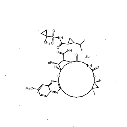 CCC[C@@H]1[C@@H]2CN(C(=O)[C@H](C(C)(C)C)NC(=O)O[C@@H]3C[C@H]3CCCCCc3nc4ccc(OC)cc4nc3O2)[C@@H]1C(=O)N[C@]1(C(=O)NS(=O)(=O)C2(C)CC2)C[C@H]1C(F)F